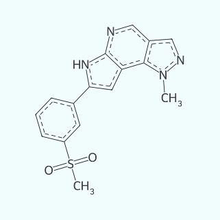 Cn1ncc2cnc3[nH]c(-c4cccc(S(C)(=O)=O)c4)cc3c21